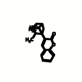 CC1CCC2CC1(c1cc3ccccc3oc1=O)C2(C)C